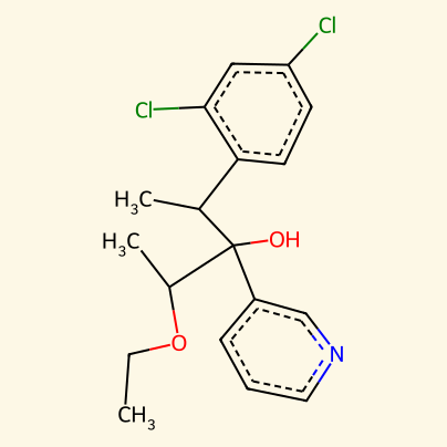 CCOC(C)C(O)(c1cccnc1)C(C)c1ccc(Cl)cc1Cl